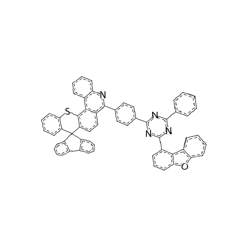 c1ccc(-c2nc(-c3ccc(-c4nc5ccccc5c5c6c(ccc45)C4(c5ccccc5S6)c5ccccc5-c5ccccc54)cc3)nc(-c3cccc4oc5ccccc5c34)n2)cc1